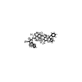 CCC(C)C(C(CC(=O)N1CCCC1C(OC)C(C)C(=O)NC(Cc1ccccc1)c1nccs1)OC)N(C)C(=O)CNC(=O)C(C(C)C)N(C)Cc1ncc[nH]1